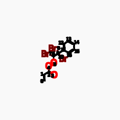 C=CC(=O)OOC(Br)C(Br)(Br)c1ccccc1